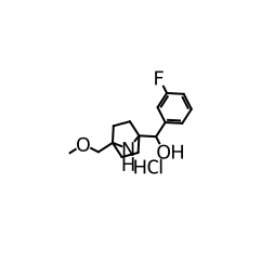 COCC12CCC(C(O)c3cccc(F)c3)(CC1)N2.Cl